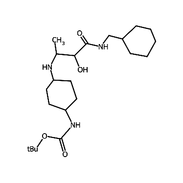 CC(NC1CCC(NC(=O)OC(C)(C)C)CC1)C(O)C(=O)NCC1CCCCC1